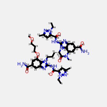 CCn1nc(C)cc1C(=O)Nc1nc2cc(C(N)=O)cc(OCCCOC)c2n1CCC[C@H]1C(=O)N(C)c2cc(C(N)=O)cc3nc(NC(=O)c4cc(C)nn4CC)n1c23